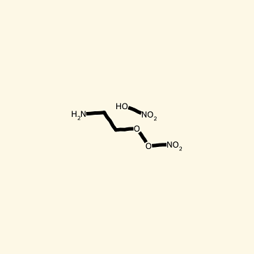 NCCOO[N+](=O)[O-].O=[N+]([O-])O